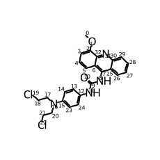 COc1cccc2c(NC(=O)Nc3ccc(N(CCCl)CCCl)cc3)c3ccccc3nc12